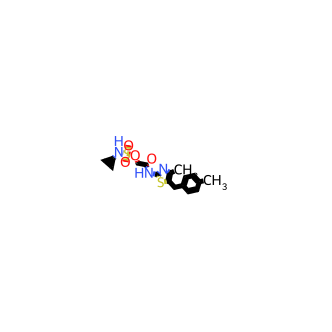 Cc1ccc(Cc2sc(NC(=O)COS(=O)(=O)NC3CC3)nc2C)cc1